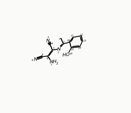 CC(=NC(C#N)=C(N)C#N)c1ccccc1O